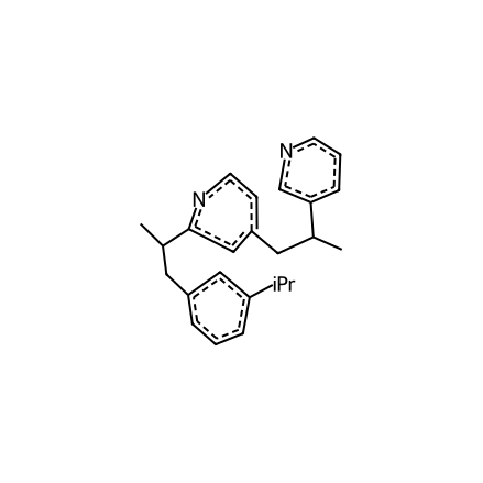 CC(C)c1cccc(CC(C)c2cc(CC(C)c3cccnc3)ccn2)c1